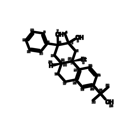 CC[C@@]12CC(C)(O)C(O)(c3ccccc3)C[C@H]1CCc1cc(C(C)(C)O)ccc12